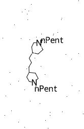 CCCCCN1CCC(CCCC2CCN(CCCCC)CC2)CC1